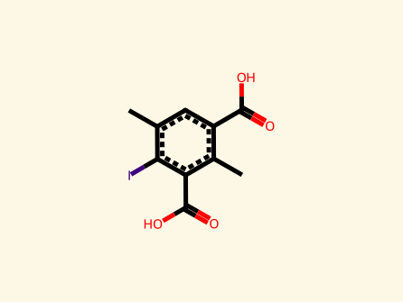 Cc1cc(C(=O)O)c(C)c(C(=O)O)c1I